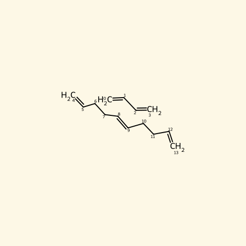 C=CC=C.C=CCC/C=C/CCC=C